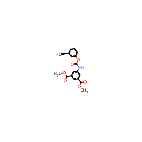 C#Cc1cccc(OC(=O)Nc2cc(C(=O)OC)cc(C(=O)OC)c2)c1